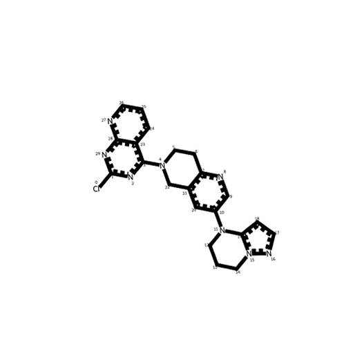 Clc1nc(N2CCc3ncc(N4CCCn5nccc54)cc3C2)c2cccnc2n1